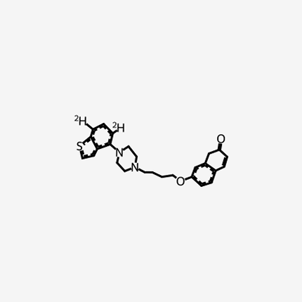 [2H]c1cc([2H])c2sccc2c1N1CCN(CCCCOc2ccc3c(c2)CC(=O)C=C3)CC1